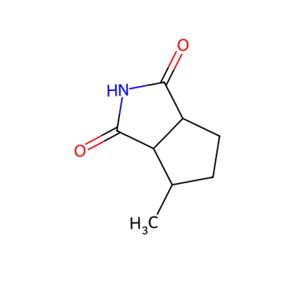 CC1CCC2C(=O)NC(=O)C12